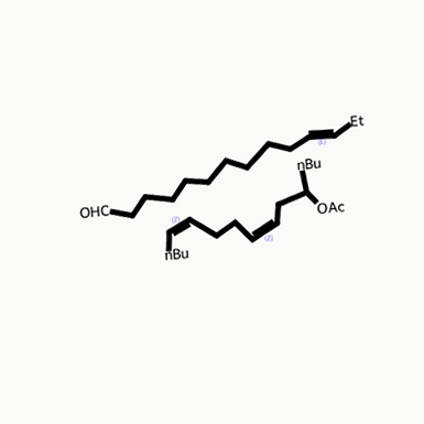 CC/C=C/CCCCCCCCCC=O.CCCC/C=C\CC/C=C\CC(CCCC)OC(C)=O